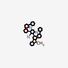 CC1c2ccccc2-c2cc(-c3c(-n4c5ccccc5c5ccccc54)cc(-n4c5ccccc5c5ccccc54)c(-c4ccccc4)c3C#N)ccc21